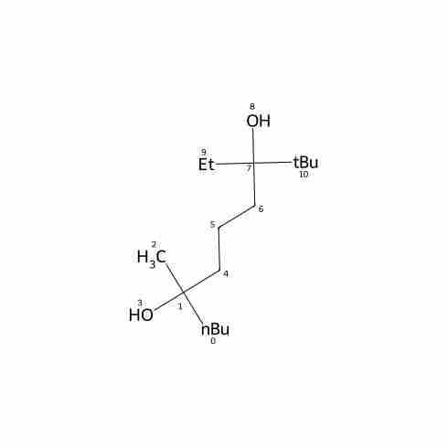 CCCCC(C)(O)CCCC(O)(CC)C(C)(C)C